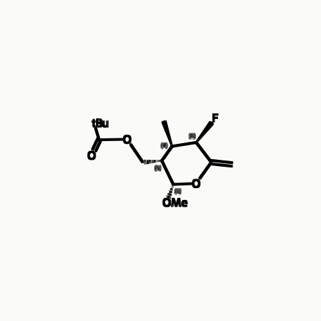 C=C1O[C@H](OC)[C@H](COC(=O)C(C)(C)C)[C@@H](C)[C@H]1F